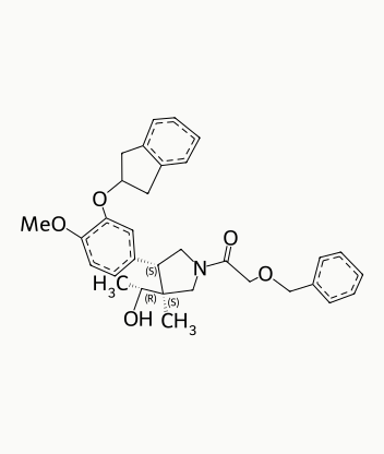 COc1ccc([C@@H]2CN(C(=O)COCc3ccccc3)C[C@@]2(C)[C@@H](C)O)cc1OC1Cc2ccccc2C1